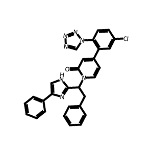 O=c1cc(-c2cc(Cl)ccc2-n2cnnn2)ccn1C(Cc1ccccc1)c1nc(-c2cc[c]cc2)c[nH]1